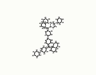 C1=CC(N(c2ccc(-c3ccc(N(c4ccc(-c5ccccc5)cc4)c4cccc5ccccc45)cc3)cc2)c2cccc3ccccc23)CC=C1c1ccccc1